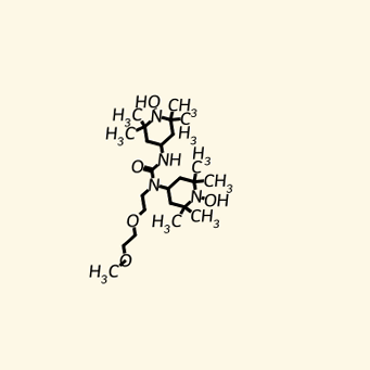 COCCOCCN(C(=O)NC1CC(C)(C)N(O)C(C)(C)C1)C1CC(C)(C)N(O)C(C)(C)C1